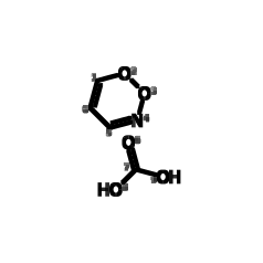 C1=COON=C1.O=C(O)O